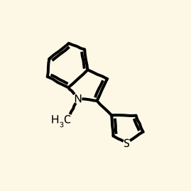 Cn1c(-c2ccsc2)cc2ccccc21